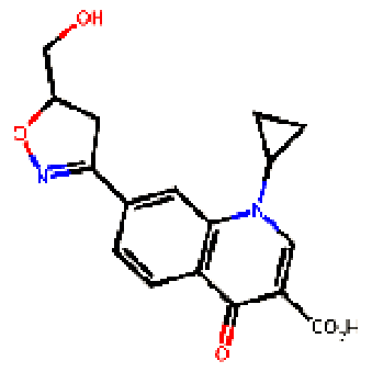 O=C(O)c1cn(C2CC2)c2cc(C3=NOC(CO)C3)ccc2c1=O